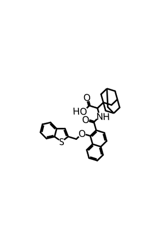 O=C(NC(C(=O)O)C12CC3CC(CC(C3)C1)C2)c1ccc2ccccc2c1OCc1cc2ccccc2s1